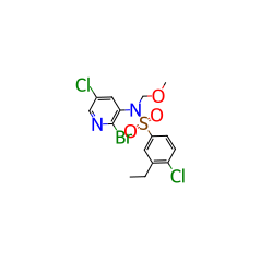 CCc1cc(S(=O)(=O)N(COC)c2cc(Cl)cnc2Br)ccc1Cl